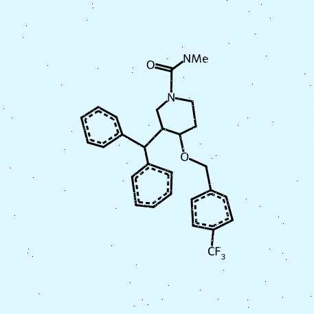 CNC(=O)N1CCC(OCc2ccc(C(F)(F)F)cc2)C(C(c2ccccc2)c2ccccc2)C1